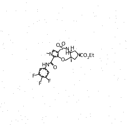 CCOC(=O)N1C[C@H]2NS(=O)(=O)c3cn(C)c(C(=O)Nc4cc(F)c(F)c(F)c4)c3OC[C@@]2(C)C1